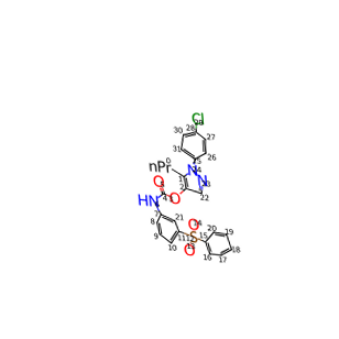 CCCc1c(OC(=O)Nc2cccc(S(=O)(=O)c3ccccc3)c2)cnn1-c1ccc(Cl)cc1